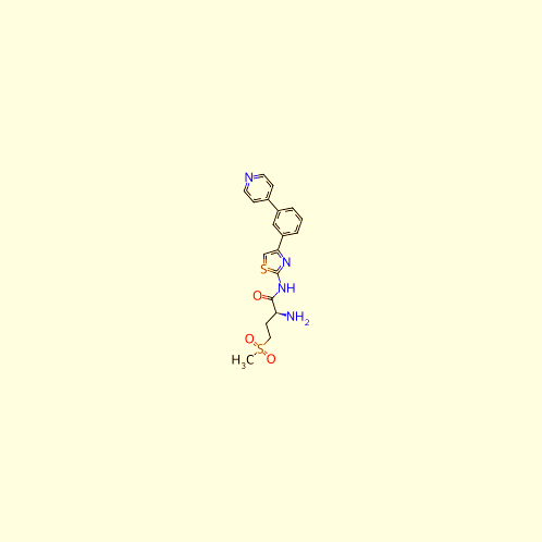 CS(=O)(=O)CC[C@H](N)C(=O)Nc1nc(-c2cccc(-c3ccncc3)c2)cs1